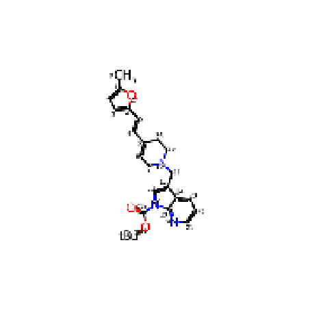 Cc1ccc(C=CC2=CCN(Cc3cn(C(=O)OC(C)(C)C)c4ncccc34)CC2)o1